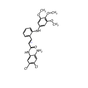 COc1cc(Nc2ccccc2/C=C/C(=O)Nc2cc(Cl)c(Cl)cc2N)cc(OC)c1OC